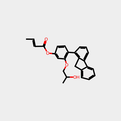 CC=CC(=O)Oc1ccc(-c2cccc3c2Cc2ccccc2-3)c(OCC(C)O)c1